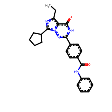 CCc1nc(C2CCCC2)n2nc(-c3ccc(C(=O)Nc4ccccc4)cc3)[nH]c(=O)c12